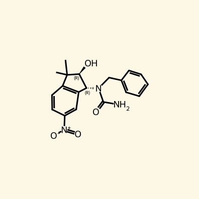 CC1(C)c2ccc([N+](=O)[O-])cc2[C@@H](N(Cc2ccccc2)C(N)=O)[C@@H]1O